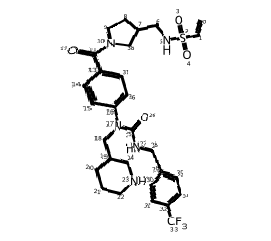 C=CS(=O)(=O)NCC1CCN(C(=O)c2ccc(N(CC3CCCNC3)C(=O)NCc3ccc(C(F)(F)F)cc3)cc2)C1